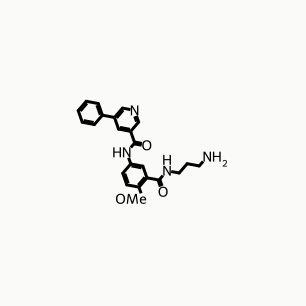 COc1ccc(NC(=O)c2cncc(-c3ccccc3)c2)cc1C(=O)NCCCN